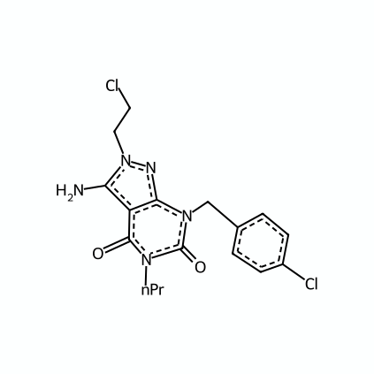 CCCn1c(=O)c2c(N)n(CCCl)nc2n(Cc2ccc(Cl)cc2)c1=O